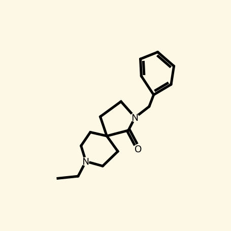 CCN1CCC2(CC1)CCN(Cc1ccccc1)C2=O